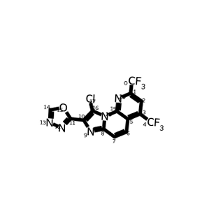 FC(F)(F)c1cc(C(F)(F)F)c2ccc3nc(-c4nnco4)c(Cl)n3c2n1